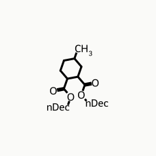 CCCCCCCCCCOC(=O)C1CCC(C)CC1C(=O)OCCCCCCCCCC